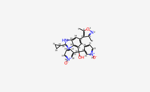 Cc1noc(C)c1-c1cc(C(O)(c2ccc[n+]([O-])c2)c2ccc[n+]([O-])c2)c2nc(C3CC3)[nH]c2c1